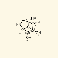 C[C@]12NC[C@H](O1)[C@@H](O)[C@@H](O)[C@@H]2O